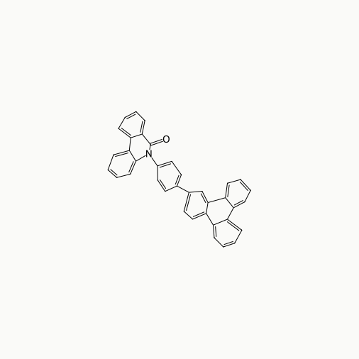 O=c1c2ccccc2c2ccccc2n1-c1ccc(-c2ccc3c4ccccc4c4ccccc4c3c2)cc1